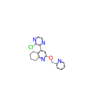 Clc1nccnc1-c1cc(OCc2ccccn2)nc2c1CCCC2